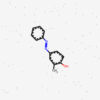 Cc1cc(N=Nc2ccccc2)ccc1O